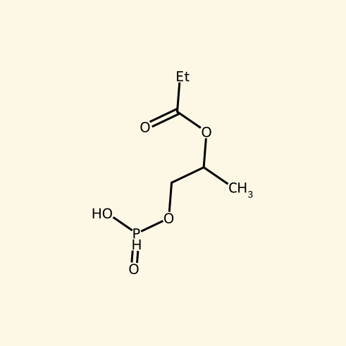 CCC(=O)OC(C)CO[PH](=O)O